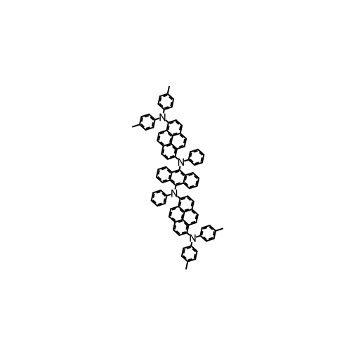 Cc1ccc(N(c2ccc(C)cc2)c2ccc3ccc4c(N(c5ccccc5)c5c6ccccc6c(N(c6ccccc6)c6ccc7ccc8c(N(c9ccc(C)cc9)c9ccc(C)cc9)ccc9ccc6c7c98)c6ccccc56)ccc5ccc2c3c54)cc1